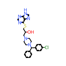 OC(CSc1ncnc2[nH]cnc12)CN1CCN(C(c2ccccc2)c2ccc(Cl)cc2)CC1